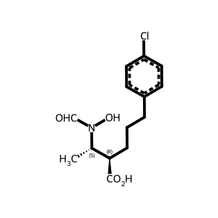 C[C@@H]([C@@H](CCCc1ccc(Cl)cc1)C(=O)O)N(O)C=O